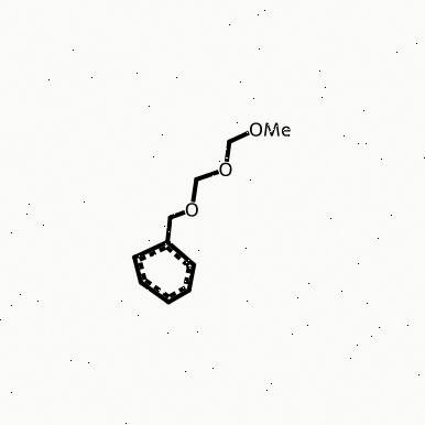 COCOCOCc1ccccc1